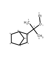 CCOC(C)(C)C1CC2CCC1C2